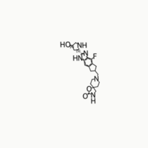 O=C1NCC2(CCN(CC3Cc4cc5[nH]c([C@@H]6C[C@@H](O)CN6)nc5c(F)c4C3)CC2)O1